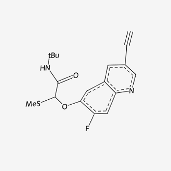 C#Cc1cnc2cc(F)c(OC(SC)C(=O)NC(C)(C)C)cc2c1